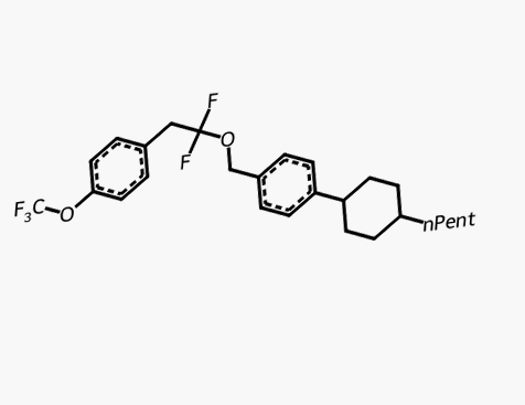 CCCCCC1CCC(c2ccc(COC(F)(F)Cc3ccc(OC(F)(F)F)cc3)cc2)CC1